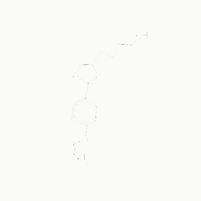 NCOc1ccc(C2OCC(CCCCO)O2)cc1